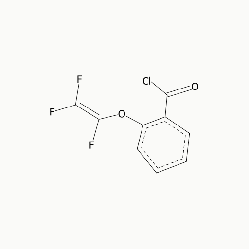 O=C(Cl)c1ccccc1OC(F)=C(F)F